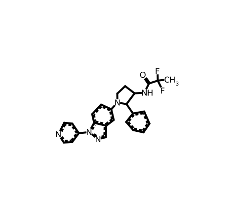 CC(F)(F)C(=O)NC1CCN(c2ccc3c(cnn3-c3ccncc3)c2)C1c1ccccc1